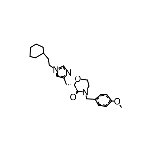 COc1ccc(CN2CCO[C@@H](Cc3cn(CCC4CCCCC4)cn3)C2=O)cc1